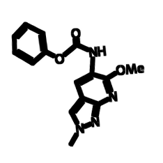 COc1nc2nn(C)cc2cc1NC(=O)Oc1ccccc1